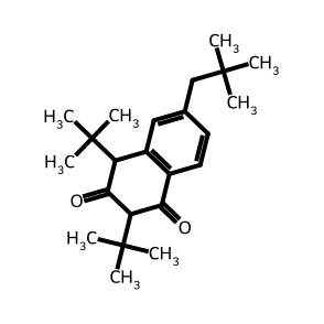 CC(C)(C)Cc1ccc2c(c1)C(C(C)(C)C)C(=O)C(C(C)(C)C)C2=O